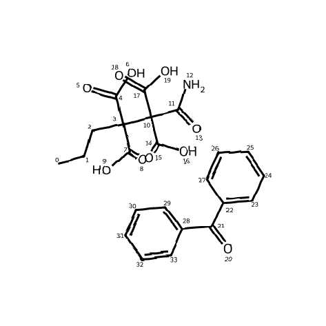 CCCC(C(=O)O)(C(=O)O)C(C(N)=O)(C(=O)O)C(=O)O.O=C(c1ccccc1)c1ccccc1